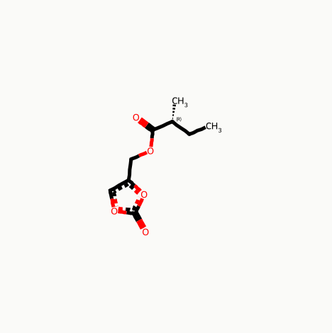 CC[C@@H](C)C(=O)OCc1coc(=O)o1